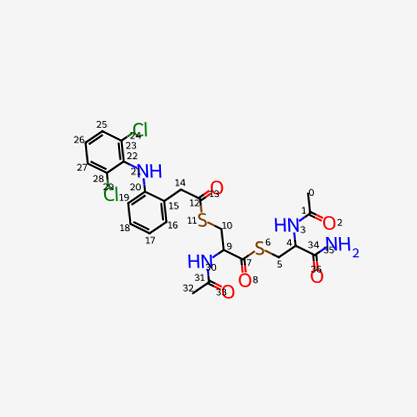 CC(=O)NC(CSC(=O)C(CSC(=O)Cc1ccccc1Nc1c(Cl)cccc1Cl)NC(C)=O)C(N)=O